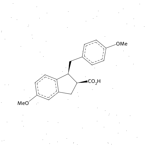 COc1ccc(C[C@@H]2c3ccc(OC)cc3C[C@@H]2C(=O)O)cc1